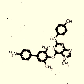 Cc1cc(-c2ccc(N)cc2)cc(C)c1Oc1nc(Nc2ccc(C#N)cc2)nc2ncn(C)c12